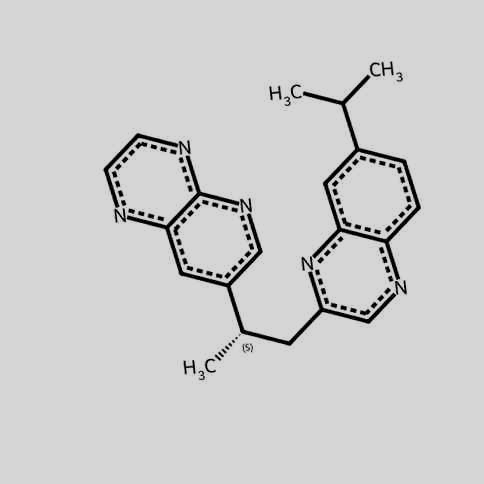 CC(C)c1ccc2ncc(C[C@H](C)c3cnc4nccnc4c3)nc2c1